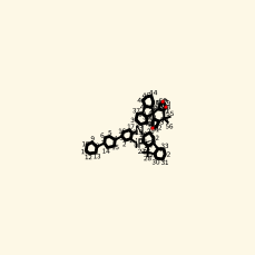 CC(C)c1cc(-c2ccc(-c3ccccc3)cc2)ccc1N(c1ccc2c(c1)C(C)(C)c1ccccc1-2)c1ccc2c(c1)C1(c3ccccc3-2)c2ccccc2C(C)(C)c2ccccc21